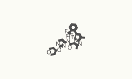 Cc1nc2c(C)cc(-c3ccccc3C(F)(F)F)nn2c1C(=O)Nc1ccnc(OC2CCOCC2)n1